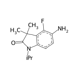 CC(C)N1C(=O)C(C)(C)c2c1ccc(N)c2F